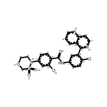 O=C(Nc1ccc(Cl)c(-c2nccc3ncccc23)c1)c1ccc(N2CCOCS2(=O)=O)cc1Cl